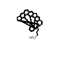 O=C(O)CCCC1(c2ccccc2)C23C=Cc4cc5c6c7c4C21c1c2c4c(cc8ccc9cc(c6c6c9c8c4c6c17)C5)CC2=C3